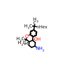 CCCCCCC(C)(C)c1ccc2c(c1)OC(C)(C)[C@@H]1CCC(N)C[C@@]21O